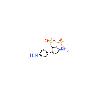 CS(=O)(=O)Cc1c(N)ccc(-c2ccc(N)cc2)c1CS(C)(=O)=O